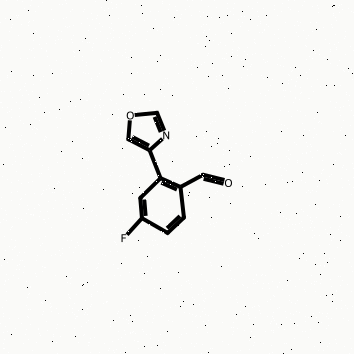 O=Cc1ccc(F)cc1-c1cocn1